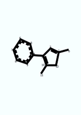 CC1=CC(c2ccccc2)=C(C)C1